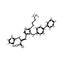 CCCCc1ncc(/C=C(\Cc2cccs2)C(=O)O)n1Cc1ccc(-c2ccccc2)cc1